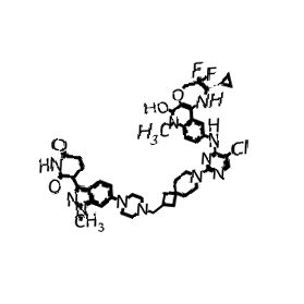 CN1c2ccc(Nc3nc(N4CCC5(CC4)CC(CN4CCN(c6ccc7c(C8CCC(=O)NC8=O)nn(C)c7c6)CC4)C5)ncc3Cl)cc2C2=C(OCC(F)(F)[C@H](C3CC3)N2)C1O